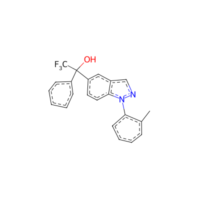 Cc1ccccc1-n1ncc2cc(C(O)(c3ccccc3)C(F)(F)F)ccc21